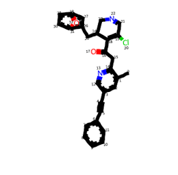 Cc1cc(C#Cc2ccccc2)cnc1CC(=O)C1=C(Cl)C=NCC1Cc1cc2ccc1o2